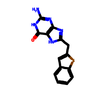 Nc1nc2nc(Cc3cc4ccccc4s3)[nH]c2c(=O)[nH]1